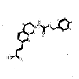 O=C(O)C=Cc1ccc2c(c1)C[C@@H](NC(=O)OCc1ccccc1)CC2